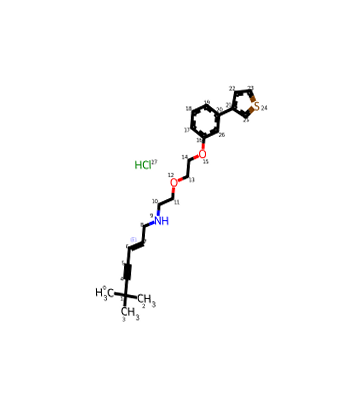 CC(C)(C)C#C/C=C/CNCCOCCOc1cccc(-c2ccsc2)c1.Cl